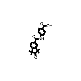 CC1(C)C(=O)C(C)(C)c2cc(C(=O)Nc3ccc(C(=O)O)cc3)ccc21